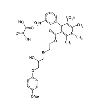 COc1ccc(OCC(O)CNCCOC(=O)C2=C(C)N(C)C(C)=C(C(=O)O)C2c2cccc([N+](=O)[O-])c2)cc1.O=C(O)C(=O)O